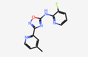 Cc1ccnc(-c2noc(Nc3ncccc3F)n2)c1